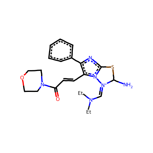 CCN(C=[N+]1C(N)Sc2nc(-c3ccccc3)c(C=CC(=O)N3CCOCC3)n21)CC